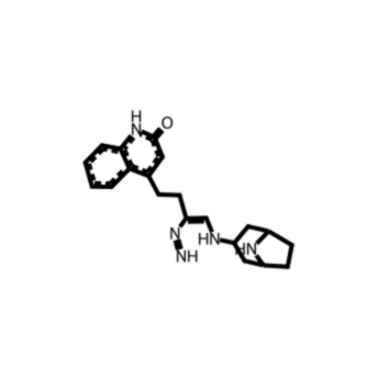 N=N/C(=C\NC1CC2CCC(C1)N2)CCc1cc(=O)[nH]c2ccccc12